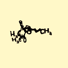 CCCCB1O[C@@H](N=C=O)[C@H](C(=O)N(C)C)O1